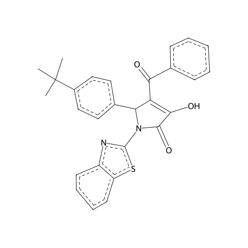 CC(C)(C)c1ccc(C2C(C(=O)c3ccccc3)=C(O)C(=O)N2c2nc3ccccc3s2)cc1